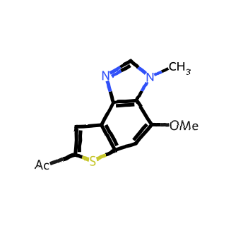 COc1cc2sc(C(C)=O)cc2c2ncn(C)c12